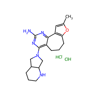 Cc1cc2c(o1)CCCc1c-2nc(N)nc1N1CC2CCCNC2C1.Cl.Cl